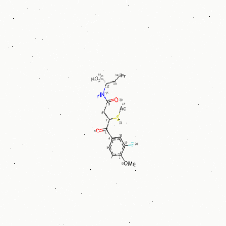 COc1ccc(C(=O)C(CC(=O)N[C@@H](CC(C)C)C(=O)O)SC(C)=O)cc1F